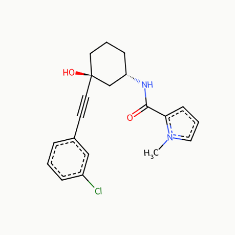 Cn1cccc1C(=O)N[C@H]1CCC[C@@](O)(C#Cc2cccc(Cl)c2)C1